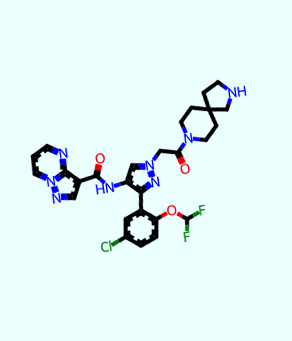 O=C(Nc1cn(CC(=O)N2CCC3(CCNC3)CC2)nc1-c1cc(Cl)ccc1OC(F)F)c1cnn2cccnc12